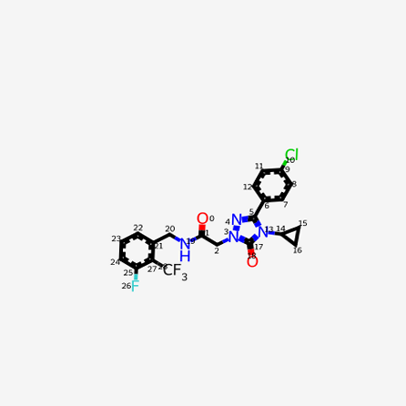 O=C(Cn1nc(-c2ccc(Cl)cc2)n(C2CC2)c1=O)NCc1cccc(F)c1C(F)(F)F